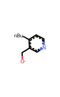 CCCCc1ccncc1C[O]